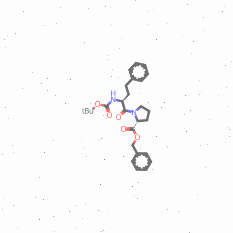 CC(C)(C)OC(=O)N[C@@H](CCc1ccccc1)C(=O)N1CCC[C@@H]1C(=O)OCc1ccccc1